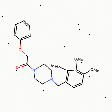 COc1ccc(CN2CCN(C(=O)COc3ccccc3)CC2)c(OC)c1OC